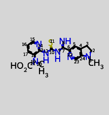 CN1CCc2cc(C(=N)NC(=S)Nc3ncccc3N(C)C(=O)O)ncc21